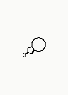 O=C1C=C2CCCCCCCCC2C1